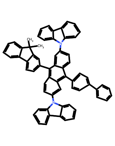 CC1(C)c2ccccc2-c2ccc(-c3c4ccc(-n5c6ccccc6c6ccccc65)cc4c(-c4ccc(-c5ccccc5)cc4)c4ccc(-n5c6ccccc6c6ccccc65)cc34)cc21